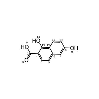 O=C(O)c1ccc2cc(O)ccc2c1O